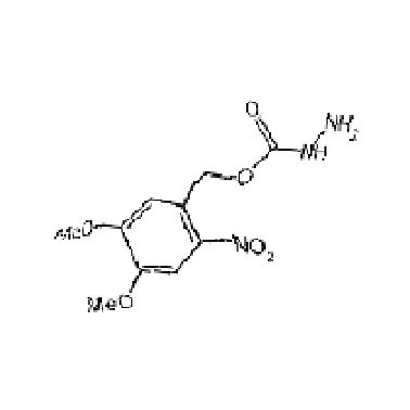 COc1cc(COC(=O)NN)c([N+](=O)[O-])cc1OC